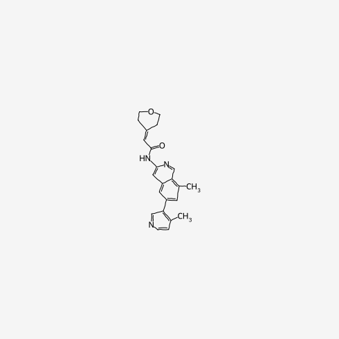 Cc1ccncc1-c1cc(C)c2cnc(NC(=O)C=C3CCOCC3)cc2c1